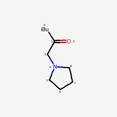 CCC(C)C(=O)CN1CCCC1